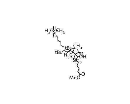 COC(=O)CCCCCC(O)C1(O[SiH3])C(=O)CC(C)(C(C)(C)C)C1(C)C=CC(CCCCCO[SiH](C)C)C(C)(C)C